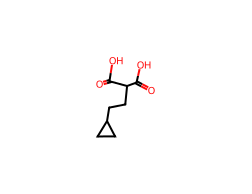 O=C(O)C(CCC1CC1)C(=O)O